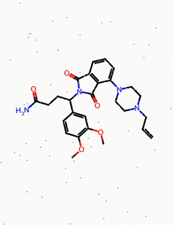 C=CCN1CCN(c2cccc3c2C(=O)N(C(CCC(N)=O)c2ccc(OC)c(OC)c2)C3=O)CC1